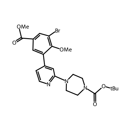 COC(=O)c1cc(Br)c(OC)c(-c2ccnc(N3CCN(C(=O)OC(C)(C)C)CC3)c2)c1